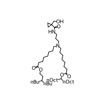 CCCCCCCCC(CCCCCCCC)OC(=O)CCCCCCCN(CCCCCCCC(=O)OCCC(CCCC)CCCC)CCCNC(=O)C1(CO)CC1